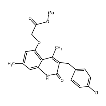 Cc1cc(OCC(=O)OC(C)(C)C)c2c(C)c(Cc3ccc(Cl)cc3)c(=O)[nH]c2c1